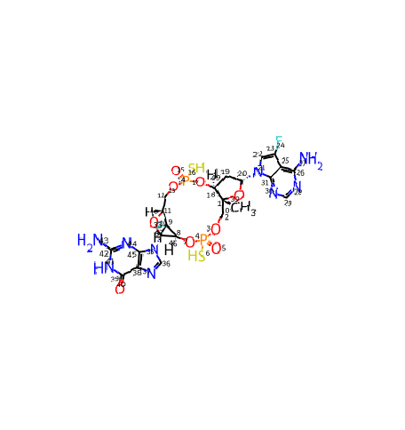 C[C@@]12COP(=O)(S)O[C@@H]3[C@H](F)[C@@H](COP(=O)(S)O[C@H]1C[C@H](n1cc(F)c4c(N)ncnc41)O2)O[C@H]3n1cnc2c(=O)[nH]c(N)nc21